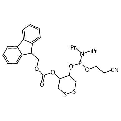 CC(C)N(C(C)C)P(OCCC#N)OC1CSSCC1OC(=O)OCC1c2ccccc2-c2ccccc21